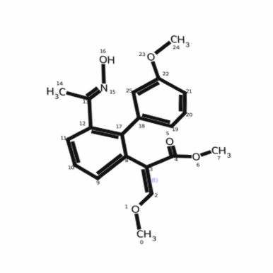 CO/C=C(/C(=O)OC)c1cccc(C(C)=NO)c1-c1cccc(OC)c1